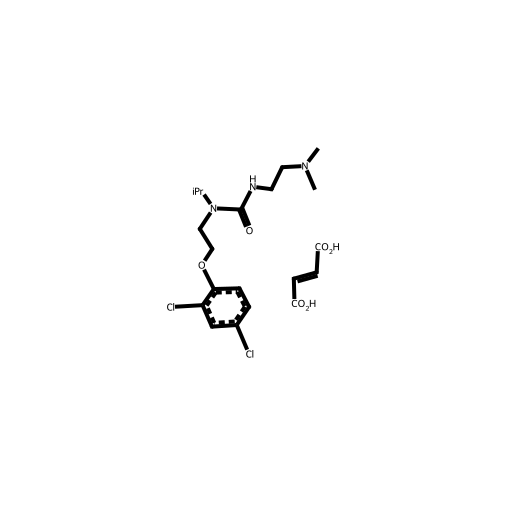 CC(C)N(CCOc1ccc(Cl)cc1Cl)C(=O)NCCN(C)C.O=C(O)C=CC(=O)O